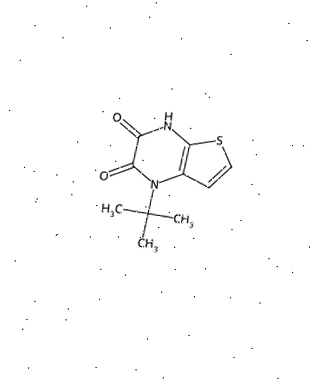 CC(C)(C)n1c(=O)c(=O)[nH]c2sccc21